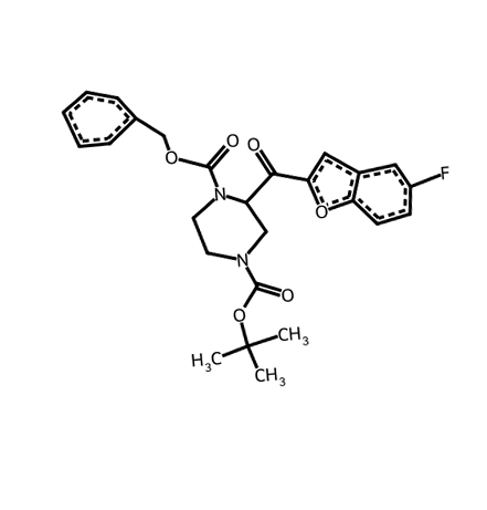 CC(C)(C)OC(=O)N1CCN(C(=O)OCc2ccccc2)C(C(=O)c2cc3cc(F)ccc3o2)C1